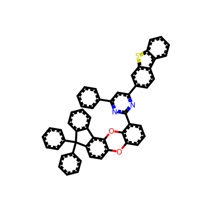 c1ccc(-c2cc(-c3ccc4c(c3)sc3ccccc34)nc(-c3cccc4c3Oc3c(ccc5c3-c3ccccc3C5(c3ccccc3)c3ccccc3)O4)n2)cc1